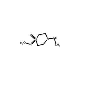 CN=S1(=O)CCN(NC)CC1